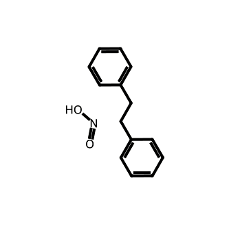 O=NO.c1ccc(CCc2ccccc2)cc1